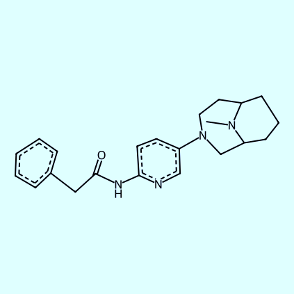 CN1C2CCCC1CN(c1ccc(NC(=O)Cc3ccccc3)nc1)CC2